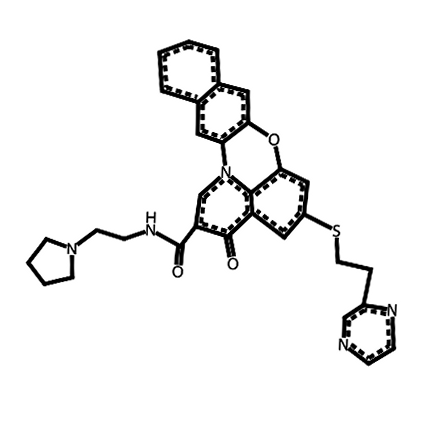 O=C(NCCN1CCCC1)c1cn2c3c(cc(SCCc4cnccn4)cc3c1=O)Oc1cc3ccccc3cc1-2